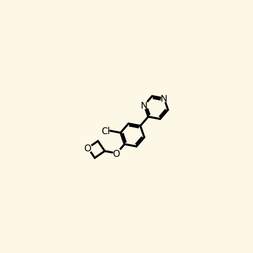 Clc1cc(-c2ccncn2)ccc1OC1COC1